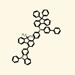 CC1(C)c2ccccc2-c2c(-c3ccc4c(c3)c3ccccc3n4-c3ccccc3)ccc(-c3ccc(N(c4ccc(-c5ccccc5)cc4)c4cccc5c4-c4ccccc4C5(c4ccccc4)c4ccccc4)cc3)c21